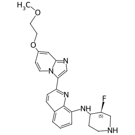 COCCOc1ccn2c(-c3ccc4cccc(NC5CCNC[C@@H]5F)c4n3)cnc2c1